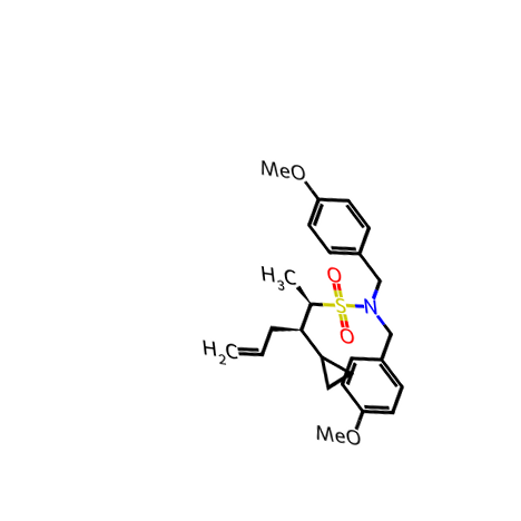 C=CC[C@H](C1CC1)[C@@H](C)S(=O)(=O)N(Cc1ccc(OC)cc1)Cc1ccc(OC)cc1